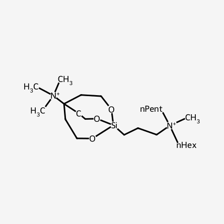 CCCCCC[N+](C)(CCCCC)CCC[Si]12OCCC([N+](C)(C)C)(CCO1)CCO2